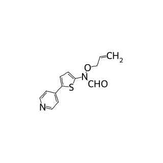 C=CCON(C=O)c1ccc(-c2ccncc2)s1